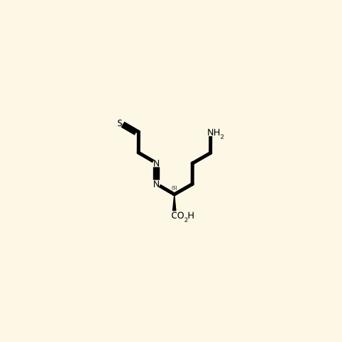 NCCC[C@H](N=NCC=S)C(=O)O